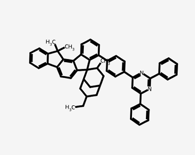 CCC1CC2CC(C)C3(c4ccc5c(c4-c4cccc(-c6ccc(-c7cc(-c8ccccc8)nc(-c8ccccc8)n7)cc6)c43)C(C)(C)c3ccccc3-5)C(C1)C2